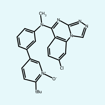 CN(c1cccc(-c2ccc(C(C)(C)C)[n+]([O-])c2)c1)c1nc2nncn2c2cc(Cl)ccc12